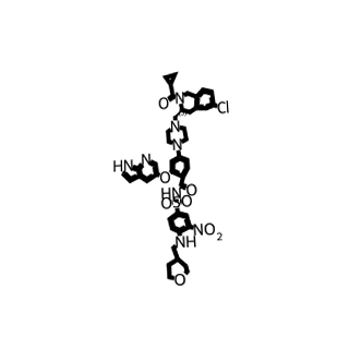 O=C(NS(=O)(=O)c1ccc(NCC2CCOCC2)c([N+](=O)[O-])c1)c1ccc(N2CCN(C[C@@H]3Cc4cc(Cl)ccc4CN3C(=O)C3CC3)CC2)cc1Oc1cnc2[nH]ccc2c1